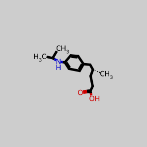 CC(C)Nc1ccc(C[C@H](C)CCC(=O)O)cc1